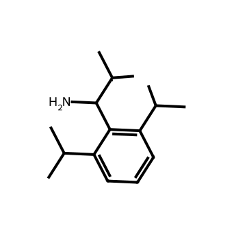 C[C](C)C(N)c1c(C(C)C)cccc1C(C)C